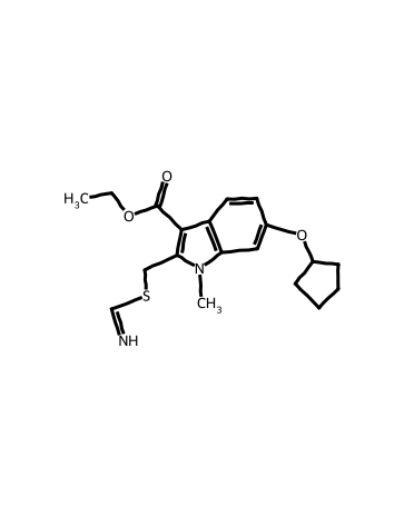 CCOC(=O)c1c(CSC=N)n(C)c2cc(OC3CCCC3)ccc12